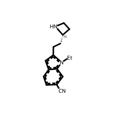 CCn1c(CC[C@H]2CCN2)cc2ccc(C#N)cc21